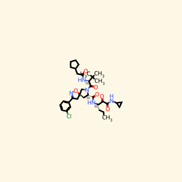 CCC[C@H](NC(=O)[C@@H]1C[C@]2(CC(c3cccc(Cl)c3)=NO2)CN1C(=O)[C@@H](NC(=O)CC1CCCC1)C(C)(C)C)C(=O)C(=O)NC1CC1